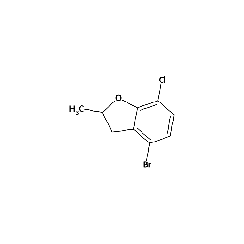 CC1Cc2c(Br)ccc(Cl)c2O1